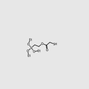 CCO[Si](CCOC(=O)CS)(OCC)OCC